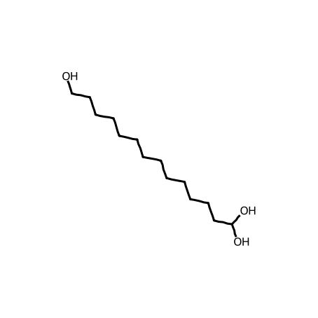 OCCCCCCCCCCCCCC(O)O